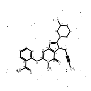 CC#CCn1c(N2CCCC(N)C2)nc2nc(Oc3ccccc3C(N)=O)n(C)c(=O)c21